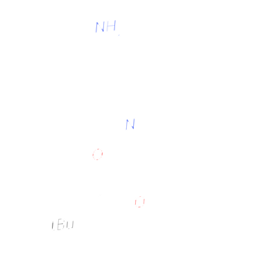 CC(C)(C)C(=O)ON1CCCC1CN